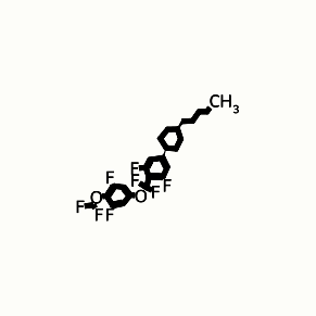 CCCCC[C@H]1CC[C@H](c2cc(F)c(C(F)(F)Oc3cc(F)c(OC(F)F)c(F)c3)c(F)c2)CC1